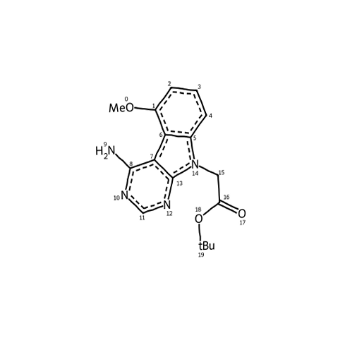 COc1cccc2c1c1c(N)ncnc1n2CC(=O)OC(C)(C)C